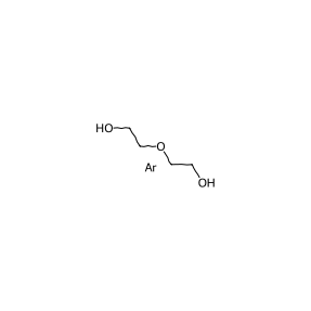 OCCOCCO.[Ar]